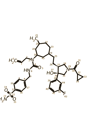 C=CCN(C(=O)NCc1ccc(S(N)(=O)=O)cc1)C1CC(C)CCC(CC[C@H]2CN(C(=O)C3CC3)C[C@]2(O)c2cccc(F)c2)C1